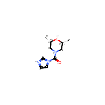 C[C@@H]1CN(C(=O)n2ccnc2)C[C@H](C)O1